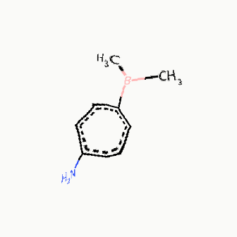 CB(C)c1ccc(N)cc1